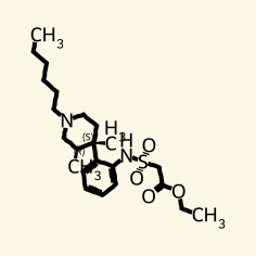 CCCCCCN1CC[C@](C)(c2ccccc2NS(=O)(=O)CC(=O)OCC)[C@@H](C)C1